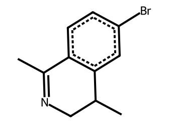 CC1=NCC(C)c2cc(Br)ccc21